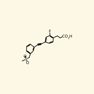 CS(=O)(=O)Cc1cccc(C#Cc2ccc(CCC(=O)O)c(F)c2)c1